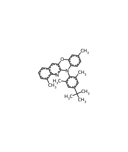 Cc1ccc2c(c1)Oc1cc3cccc(C)c3nc1N2c1c(C)cc(C(C)(C)C)cc1C